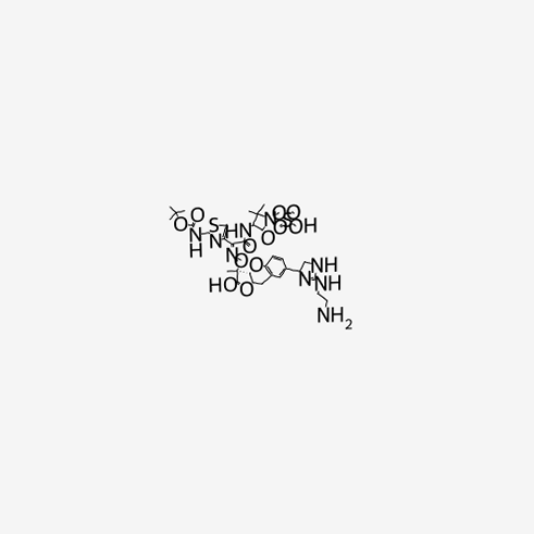 CC(C)(C)OC(=O)Nc1nc(/C(=N/OC(C)(C(=O)O)[C@H]2CCc3cc(C4CNC(NCCN)=N4)ccc3O2)C(=O)N[C@@H]2C(=O)N(OS(=O)(=O)O)C2(C)C)cs1